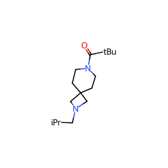 CC(C)CN1CC2(CCN(C(=O)C(C)(C)C)CC2)C1